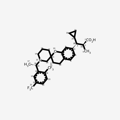 C[C@H](C(=O)O)[C@H](c1ccc2c(c1)OC1(CCCN([C@@H](C)c3cc(C(F)(F)F)ccc3C(F)(F)F)C1)CC2)C1CC1